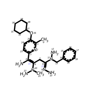 Cc1nc(/C(N)=C(\C/C(=N/N)N(N)Cc2ccccc2)N(C)N)ccc1OC1CCCCC1